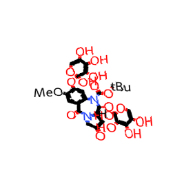 COc1cc2c(cc1OC1(O)OC=C(O)C(O)=C1O)N(C(=O)OC(C)(C)C)[C@@H](OC1(O)OC=C(O)C(O)=C1O)[C@@H]1CC(=O)CN1C2=O